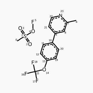 CS(=O)(=O)OF.Cc1cc(-c2ccc(OC(F)(F)F)cc2)ccn1